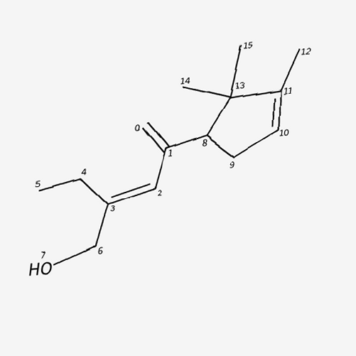 C=C(/C=C(\CC)CO)C1CC=C(C)C1(C)C